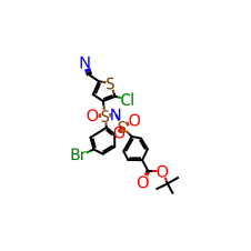 CC(C)(C)OC(=O)c1ccc(S(=O)(=O)N=S(=O)(c2cccc(Br)c2)c2cc(C#N)sc2Cl)cc1